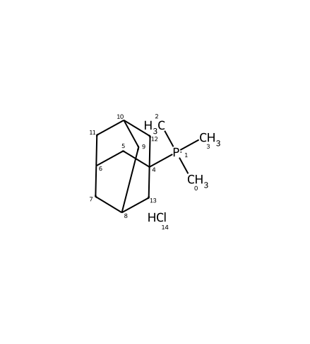 C[P](C)(C)C12CC3CC(CC(C3)C1)C2.Cl